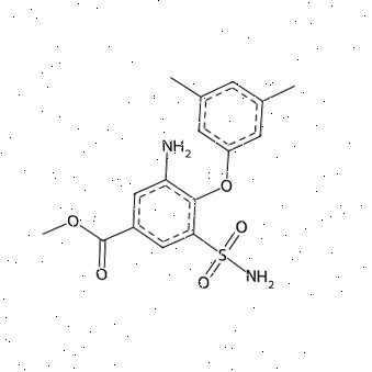 COC(=O)c1cc(N)c(Oc2cc(C)cc(C)c2)c(S(N)(=O)=O)c1